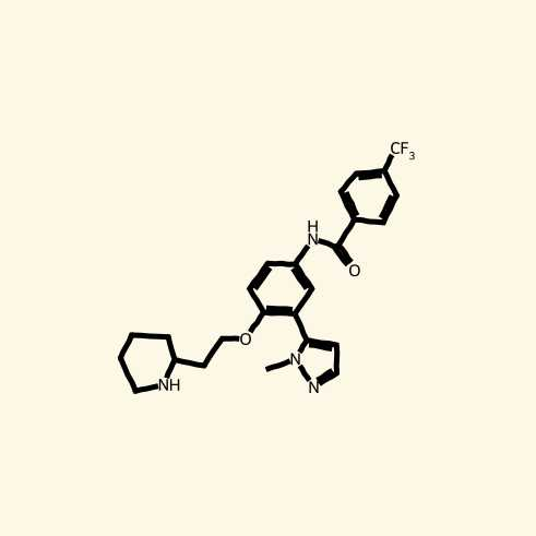 Cn1nccc1-c1cc(NC(=O)c2ccc(C(F)(F)F)cc2)ccc1OCCC1CCCCN1